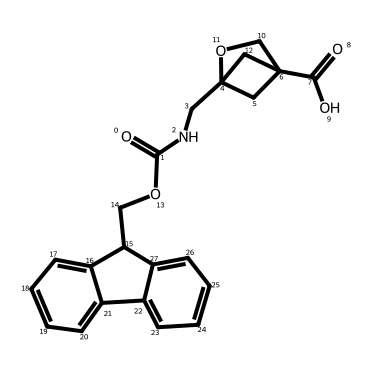 O=C(NCC12CC(C(=O)O)(CO1)C2)OCC1c2ccccc2-c2ccccc21